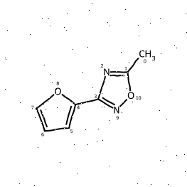 Cc1nc(-c2ccco2)no1